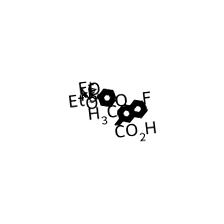 CCN(CC)S(=O)(=O)c1ccc(Oc2c(C)c(CC(=O)O)cc3ccc(F)cc23)cc1